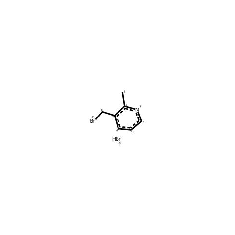 Br.Cc1ncccc1CBr